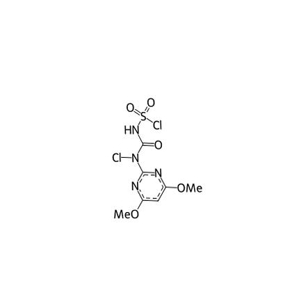 COc1cc(OC)nc(N(Cl)C(=O)NS(=O)(=O)Cl)n1